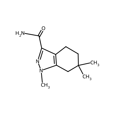 Cn1nc(C(N)=O)c2c1CC(C)(C)CC2